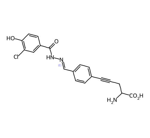 NC(CC#Cc1ccc(/C=N/NC(=O)c2ccc(O)c(Cl)c2)cc1)C(=O)O